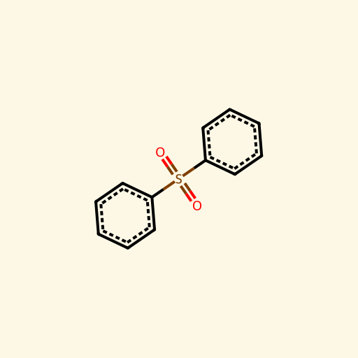 O=S(=O)(c1ccccc1)c1ccccc1